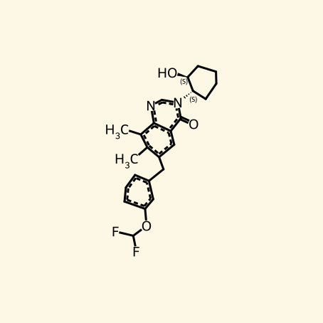 Cc1c(Cc2cccc(OC(F)F)c2)cc2c(=O)n([C@H]3CCCC[C@@H]3O)cnc2c1C